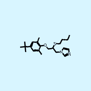 CCCCSC(COc1c(C)cc(C(C)(C)C)cc1C)Cn1ccnc1